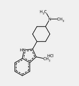 Cc1c(C2CCC(N(C)C)CC2)[nH]c2ccccc12.Cl